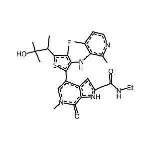 CCNC(=O)c1cc2c(-c3sc(C(C)C(C)(C)O)c(F)c3Nc3c(C)ccnc3C)cn(C)c(=O)c2[nH]1